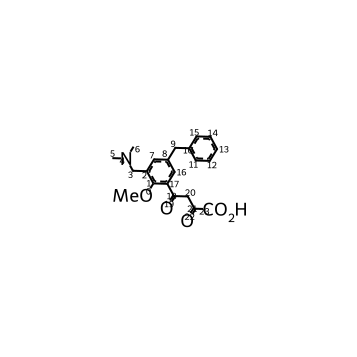 COc1c(CN(C)C)cc(Cc2ccccc2)cc1C(=O)CC(=O)C(=O)O